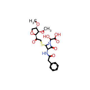 CO[C@@H]1[C@@H](OC)CO[C@@H]1C(=O)CS[C@@H]1[C@H](NC(=O)Cc2ccccc2)C(=O)N1C(O)C(=O)O